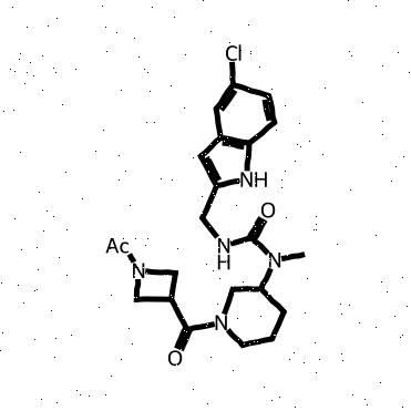 CC(=O)N1CC(C(=O)N2CCCC(N(C)C(=O)NCc3cc4cc(Cl)ccc4[nH]3)C2)C1